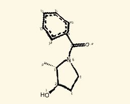 C[C@H]1[C@H](O)CCN1C(=O)c1ccccc1